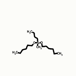 CCCCCC[O][Sn]([CH3])([CH2]CCC)[O]CCCCCC